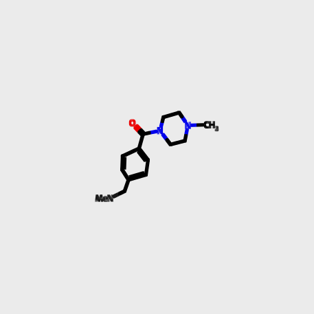 CNCc1ccc(C(=O)N2CCN(C)CC2)cc1